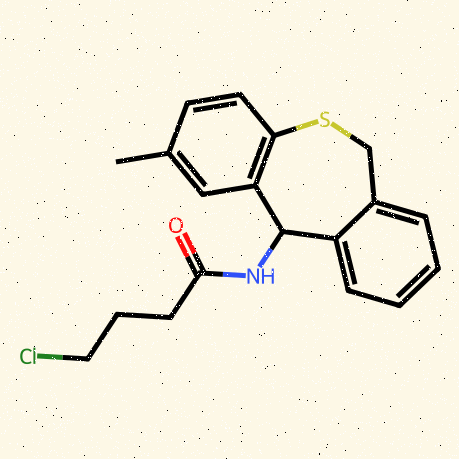 Cc1ccc2c(c1)C(NC(=O)CCCCl)c1ccccc1CS2